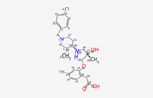 C[C@@H]1CN(Cc2ccc(Cl)cc2)CC[C@H]1NC[C@](C)(O)COc1cc(F)ccc1CC(=O)O